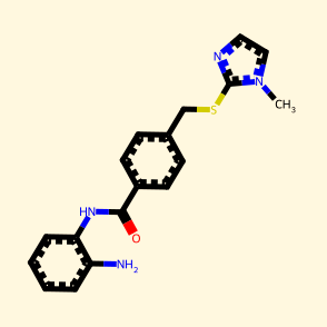 Cn1ccnc1SCc1ccc(C(=O)Nc2ccccc2N)cc1